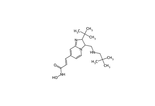 CC(C)(C)CNCC1C(C(C)(C)C)N=C2C=C(/C=C/C(=O)NO)C=CN21